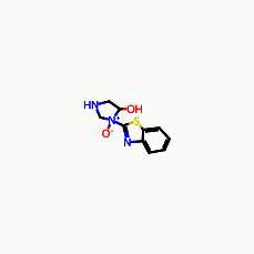 [O-][N+]1(c2nc3ccccc3s2)CNCC1O